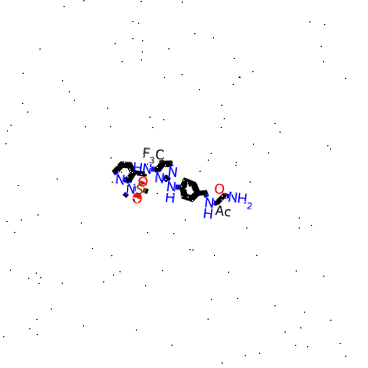 CC(=O)C(NCc1ccc(Nc2ncc(C(F)(F)F)c(NCc3cccnc3N(C)S(C)(=O)=O)n2)cc1)C(N)=O